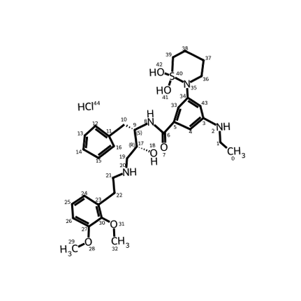 CCNc1cc(C(=O)N[C@@H](Cc2ccccc2)[C@H](O)CNCCc2cccc(OC)c2OC)cc(N2CCCCS2(O)O)c1.Cl